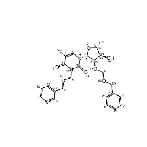 C[C@H]1O[C@@H](n2cc(F)c(=O)n(COCc3ccccc3)c2=O)[C@H](OCOCc2ccccc2)[C@@H]1O